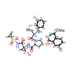 COc1cnc(O[C@@H]2C[C@@H](C(=O)N[C@]3(C(=O)NS(=O)(=O)C4CC4)C[C@H]3I)N(C(=O)C(Nc3cccc(F)c3F)C(C)(C)C)C2)c2cc(Cl)ccc12